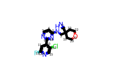 N#CC1(CNc2ccnc(-c3cc(F)ncc3Cl)n2)CCOCC1